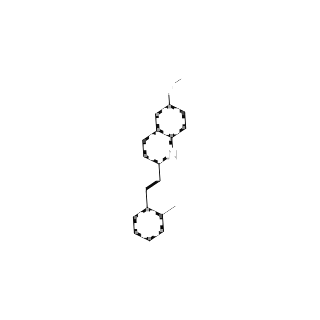 COc1ccc2nc(/C=C/c3ccccc3C)ccc2c1